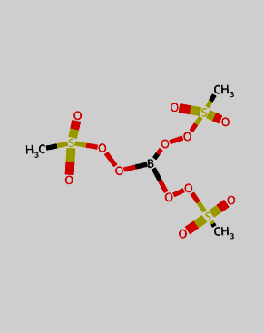 CS(=O)(=O)OOB(OOS(C)(=O)=O)OOS(C)(=O)=O